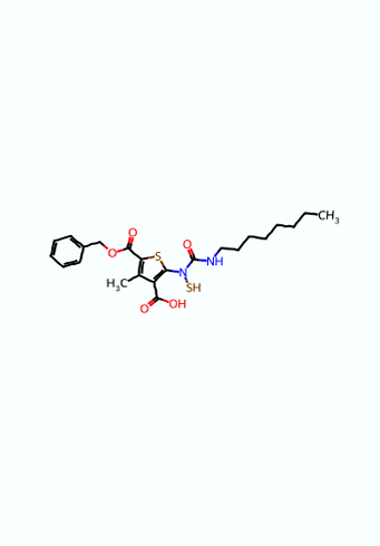 CCCCCCCCNC(=O)N(S)c1sc(C(=O)OCc2ccccc2)c(C)c1C(=O)O